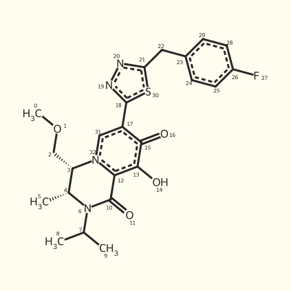 COC[C@H]1[C@@H](C)N(C(C)C)C(=O)c2c(O)c(=O)c(-c3nnc(Cc4ccc(F)cc4)s3)cn21